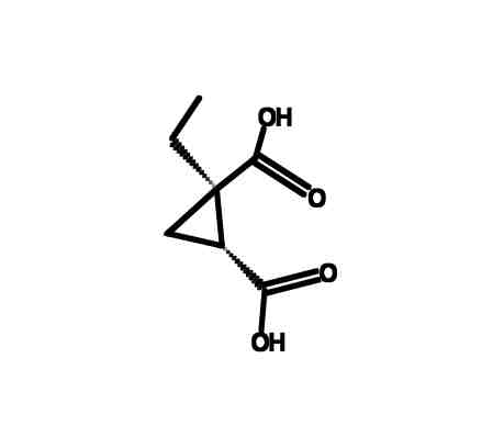 CC[C@@]1(C(=O)O)C[C@H]1C(=O)O